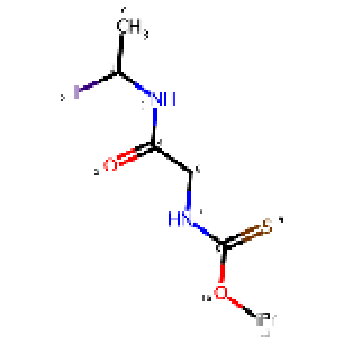 CC(I)NC(=O)CNC(=S)OC(C)C